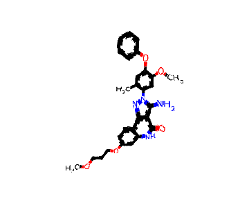 COCCCOc1ccc2c(c1)[nH]c(=O)c1c(N)n(-c3cc(OC)c(Oc4ccccc4)cc3C)nc12